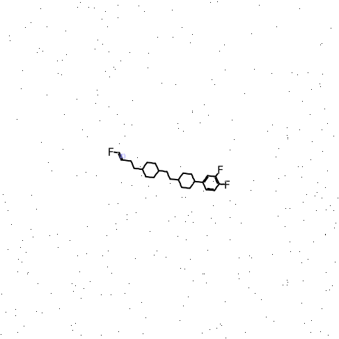 F/C=C/CCC1CCC(CCC2CCC(c3ccc(F)c(F)c3)CC2)CC1